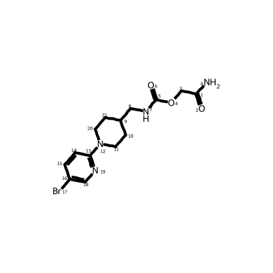 NC(=O)COC(=O)NCC1CCN(c2ccc(Br)cn2)CC1